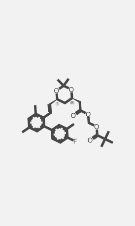 Cc1cc(C)c(C=C[C@@H]2C[C@H](CC(=O)OCOC(=O)C(C)(C)C)OC(C)(C)O2)c(-c2ccc(F)c(C)c2)c1